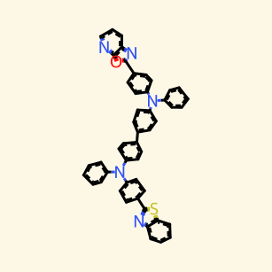 c1ccc(N(c2ccc(-c3ccc(N(c4ccccc4)c4ccc(-c5nc6ccccc6s5)cc4)cc3)cc2)c2ccc(-c3nc4cccnc4o3)cc2)cc1